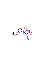 Cc1cccc(-n2cc(C#N)c(=O)[nH]c2=O)c1